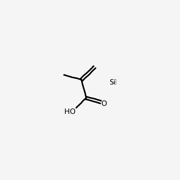 C=C(C)C(=O)O.[Si]